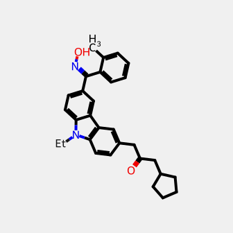 CCn1c2ccc(CC(=O)CC3CCCC3)cc2c2cc(C(=NO)c3ccccc3C)ccc21